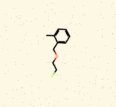 Cc1ccccc1CO[CH]CF